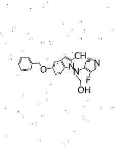 Cc1cc2cc(OCc3ccccc3)ccc2n1N(CCO)c1ccncc1F